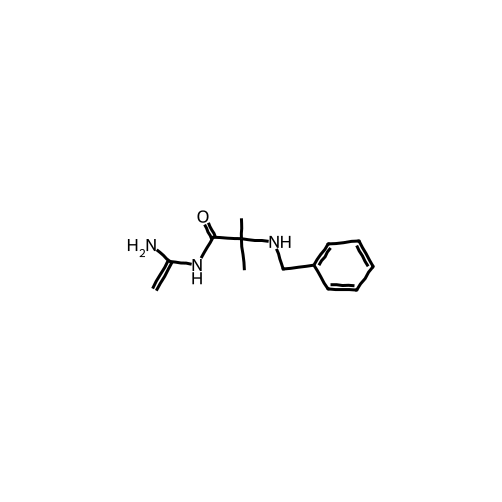 C=C(N)NC(=O)C(C)(C)NCc1ccccc1